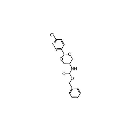 O=C(NC1COC(c2ccc(Cl)nn2)OC1)OCc1ccccc1